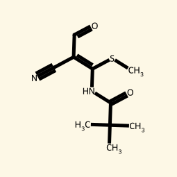 CS/C(NC(=O)C(C)(C)C)=C(/C#N)C=O